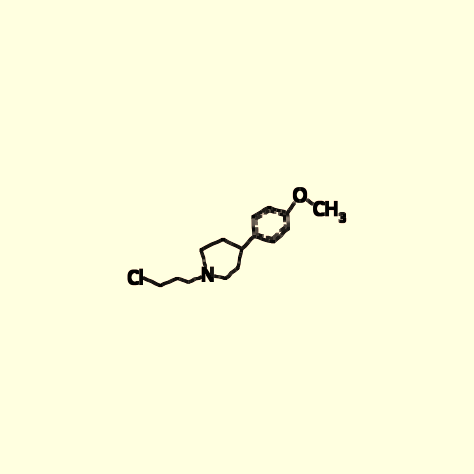 COc1ccc(C2CCN(CCCCl)CC2)cc1